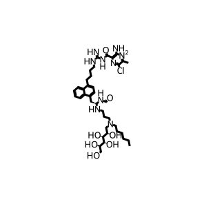 CCCCCCN(CCCN[C@@H](Cc1ccc(CCCCNC(=N)NC(=O)c2nc(Cl)c(C)nc2N)c2ccccc12)NC=O)C[C@H](O)[C@@H](O)[C@H](O)[C@H](O)CO